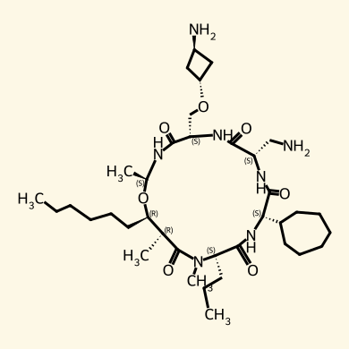 CCCCCC[C@H]1O[C@@H](C)NC(=O)[C@H](CO[C@H]2C[C@H](N)C2)NC(=O)[C@H](CN)NC(=O)[C@H](C2CCCCCC2)NC(=O)[C@H](CCC)N(C)C(=O)[C@@H]1C